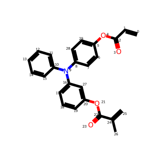 C=CC(=O)Oc1ccc(N(c2ccccc2)c2cccc(OC(=O)C(=C)C)c2)cc1